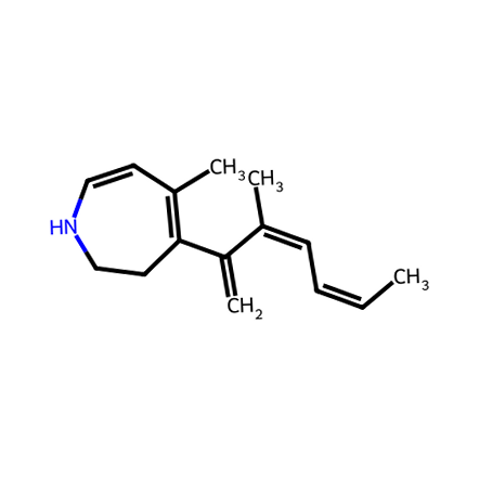 C=C(C1=C(C)C=CNCC1)/C(C)=C\C=C/C